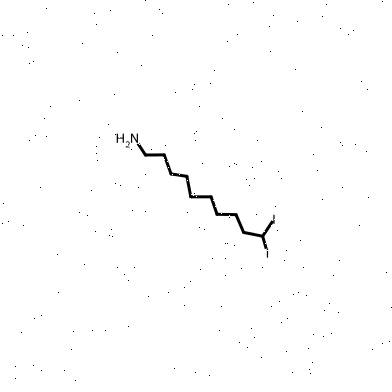 NCCCCCCCCCC(I)I